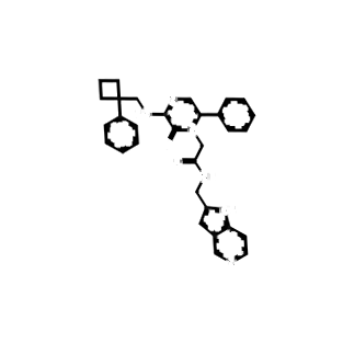 O=C(Cn1c(-c2ccccc2)cnc(NCC2(c3ccccc3)CCC2)c1=O)NCc1cc2cnccc2[nH]1